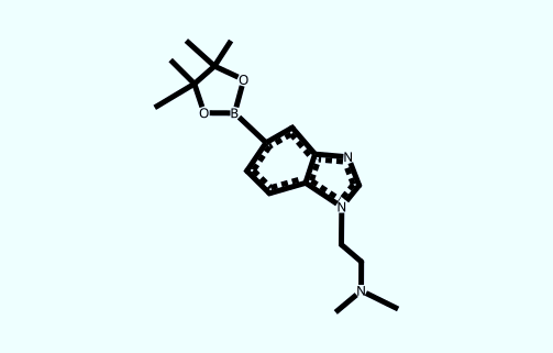 CN(C)CCn1cnc2cc(B3OC(C)(C)C(C)(C)O3)ccc21